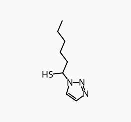 CCCCCC(S)n1ccnn1